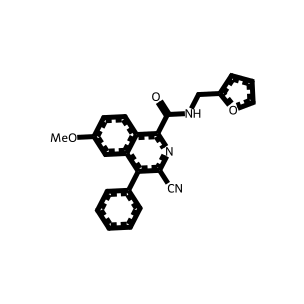 COc1ccc2c(C(=O)NCc3ccco3)nc(C#N)c(-c3ccccc3)c2c1